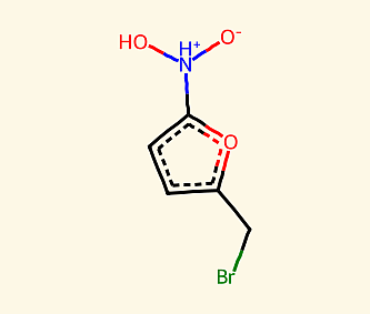 [O-][NH+](O)c1ccc(CBr)o1